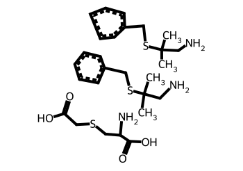 CC(C)(CN)SCc1ccccc1.CC(C)(CN)SCc1ccccc1.NC(CSCC(=O)O)C(=O)O